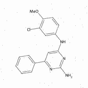 COc1ccc(Nc2cc(-c3ccccc3)nc(N)n2)cc1Cl